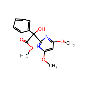 COC(=O)C(O)(c1ccccc1)c1nc(OC)cc(OC)n1